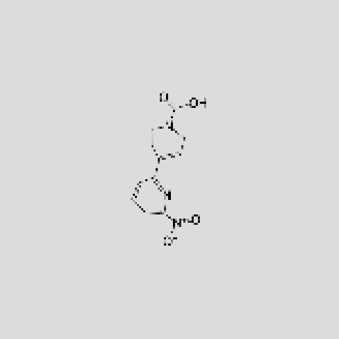 O=C(O)N1CC=C(c2cccc([N+](=O)[O-])n2)CC1